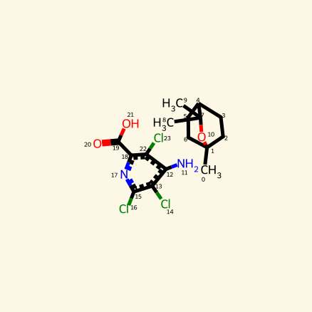 CC12CCC(CC1)C(C)(C)O2.Nc1c(Cl)c(Cl)nc(C(=O)O)c1Cl